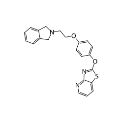 c1ccc2c(c1)CN(CCOc1ccc(Oc3nc4ncccc4s3)cc1)C2